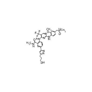 CNC(=O)c1nc(-c2cn(CCCO)nn2)ccc1Nc1nc(Nc2ccc(C[PH](C)=O)cc2OC)ncc1C(F)(F)F